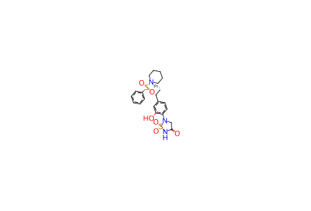 O=C1CN(c2ccc(CC[C@H]3CCCCN3S(=O)(=O)c3ccccc3)cc2O)S(=O)(=O)N1